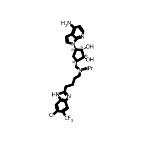 CC(C)N(CCCCc1nc2cc(C(F)(F)F)c(Cl)cc2[nH]1)C[C@H]1C[C@@H](n2ccc3c(N)ccnc32)[C@H](O)[C@@H]1O